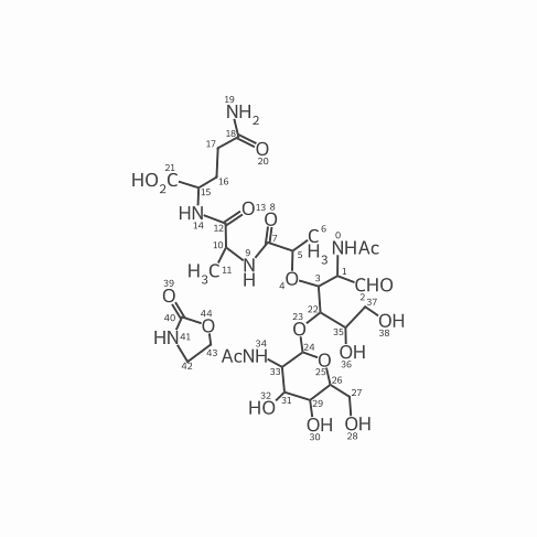 CC(=O)NC(C=O)C(OC(C)C(=O)NC(C)C(=O)NC(CCC(N)=O)C(=O)O)C(OC1OC(CO)C(O)C(O)C1NC(C)=O)C(O)CO.O=C1NCCO1